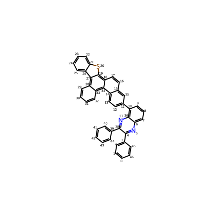 c1ccc(-c2nc3cccc(-c4ccc5c(ccc6c7sc8ccccc8c7c7ccccc7c56)c4)c3nc2-c2ccccc2)cc1